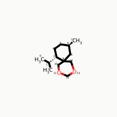 CC(C)[C@@H]1CC[C@@H](C)CC12COCOC2